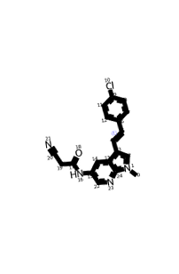 Cn1cc(/C=C/c2ccc(Cl)cc2)c2cc(NC(=O)CC#N)cnc21